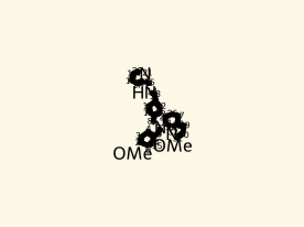 COc1cccc(CN(Cc2ccc(CNCc3ccccn3)cc2)C2CCCc3cccnc32)c1OC